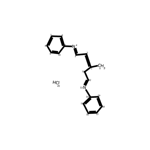 CC(=CC=Nc1ccccc1)CC=Nc1ccccc1.Cl